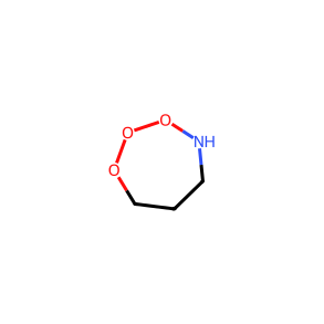 C1CNOOOC1